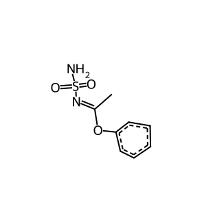 C/C(=N\S(N)(=O)=O)Oc1ccccc1